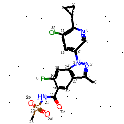 Cc1nn(-c2cnc(C3CC3)c(Cl)c2)c2cc(F)c(C(=O)NS(C)(=O)=O)cc12